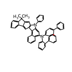 CC1(C)c2ccccc2-c2cc3c4c5ccccc5c(N(c5ccc(-c6ccccc6)cc5)c5ccccc5-c5ccccc5)cc4n(-c4ccccc4)c3cc21